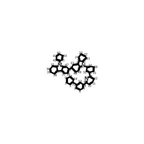 c1ccc(-c2cccc(-c3cccc(-c4cccc(-n5c6ccccc6c6cc(-c7ccc8c9ccccc9n(-c9ccccc9)c8c7)ccc65)c4)n3)c2)cc1